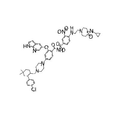 CC1(C)CCC(CN2CCN(c3ccc(C(=O)NS(=O)(=O)c4ccc(NCCN5CCS(=O)(=NC6CC6)CC5)c([N+](=O)[O-])c4)c(Oc4cnc5[nH]ccc5c4)c3)CC2)=C(c2ccc(Cl)cc2)C1